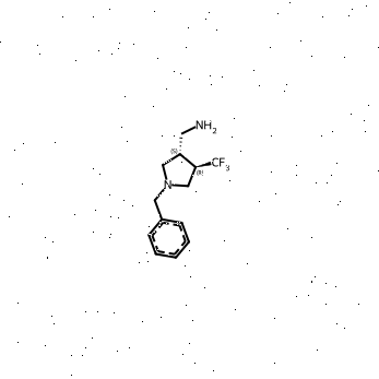 NC[C@H]1CN(Cc2ccccc2)C[C@@H]1C(F)(F)F